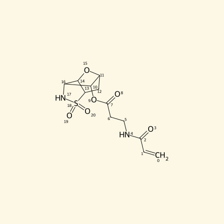 C=CC(=O)NCCC(=O)OC1C2CC3C(O2)C1NS3(=O)=O